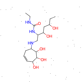 CCNC(=O)NC(CNC1CC=CC(O)C(O)C1O)C(O)CC(O)CC